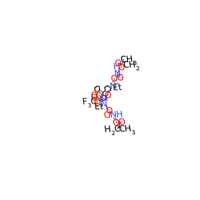 C=C(C)C(=O)OCCNC(=O)OCCN(CC)c1ccc2c(-c3ccccc3S(=O)(=O)NS(=O)(=O)C(F)(F)F)c3cc/c(=[N+](/CC)CCOC(=O)NCCOC(=O)C(=C)C)cc-3oc2c1